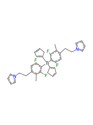 Cc1c(CCn2cccc2)cc(F)[c]([Ti]([C]2=CC=CC2)([C]2=CC=CC2)[c]2c(F)cc(CCn3cccc3)c(C)c2F)c1F